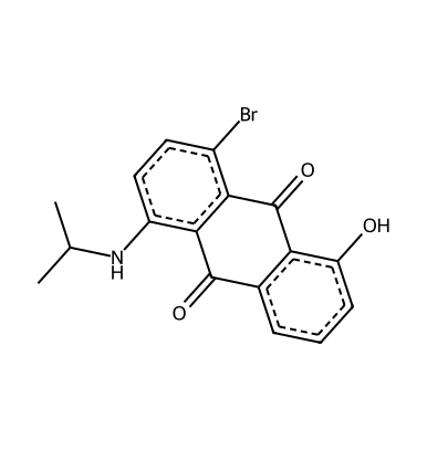 CC(C)Nc1ccc(Br)c2c1C(=O)c1cccc(O)c1C2=O